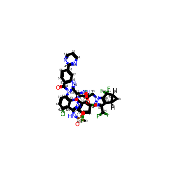 CS(=O)(=O)Nc1nn(CC(F)(F)F)c2c(-n3c([C@H](Cc4cc(F)cc(F)c4)NC(=O)Cn4nc(C(F)F)c5c4C(F)(F)[C@@H]4C[C@H]54)nc4cc(-c5ncccn5)ccc4c3=O)ccc(Cl)c12